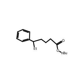 CCCCOC(=O)CCCC(CC)c1ccccc1